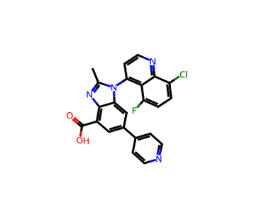 Cc1nc2c(C(=O)O)cc(-c3ccncc3)cc2n1-c1ccnc2c(Cl)ccc(F)c12